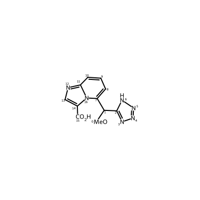 COC(c1nnn[nH]1)c1cccc2ncc(C(=O)O)n12